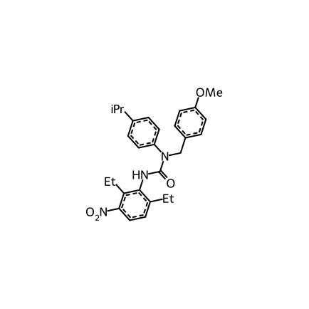 CCc1ccc([N+](=O)[O-])c(CC)c1NC(=O)N(Cc1ccc(OC)cc1)c1ccc(C(C)C)cc1